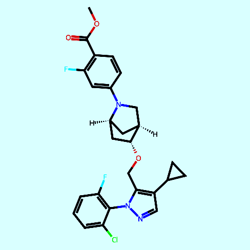 COC(=O)c1ccc(N2C[C@@H]3C[C@H]2C[C@H]3OCc2c(C3CC3)cnn2-c2c(F)cccc2Cl)cc1F